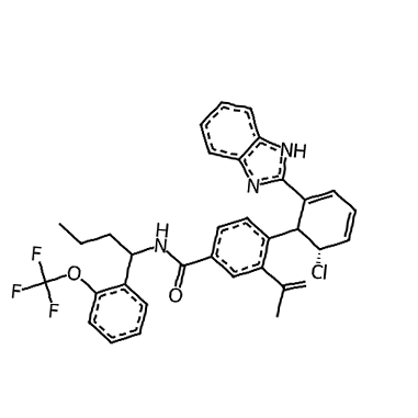 C=C(C)c1cc(C(=O)NC(CCC)c2ccccc2OC(F)(F)F)ccc1C1C(c2nc3ccccc3[nH]2)=CC=C[C@@H]1Cl